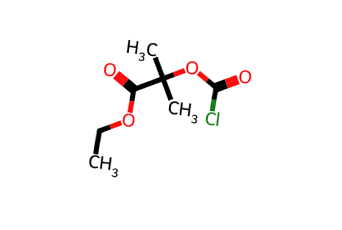 CCOC(=O)C(C)(C)OC(=O)Cl